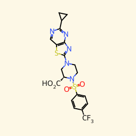 O=C(O)[C@H]1CN(c2nc3nc(C4CC4)ncc3s2)CCN1S(=O)(=O)c1ccc(C(F)(F)F)cc1